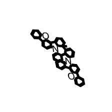 CC12C=CC=C3c4c(ccc5c4oc4ccccc45)N(C4=CC=CCC4c4c(-n5c6ccccc6c6c7oc8ccccc8c7ccc65)cccc41)C32